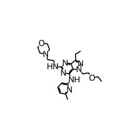 CCOCCn1nc(CC)c2nc(NCCN3CCOCC3)nc(Nc3cccc(C)n3)c21